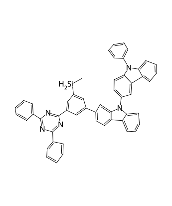 C[SiH2]c1cc(-c2ccc3c4ccccc4n(-c4ccc5c(c4)c4ccccc4n5-c4ccccc4)c3c2)cc(-c2nc(-c3ccccc3)nc(-c3ccccc3)n2)c1